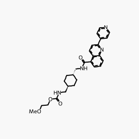 COCCOC(=O)NC[C@H]1CC[C@H](CNC(=O)c2cccc3nc(-c4ccncc4)ccc23)CC1